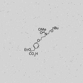 CCCCOCCN(CCCOc1ccc(CC(OCC)C(=O)O)cc1)C(=O)OC